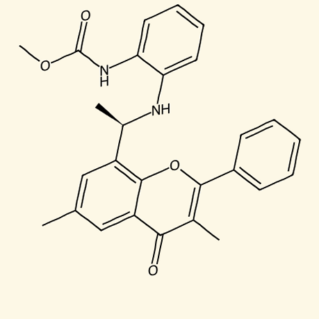 COC(=O)Nc1ccccc1N[C@H](C)c1cc(C)cc2c(=O)c(C)c(-c3ccccc3)oc12